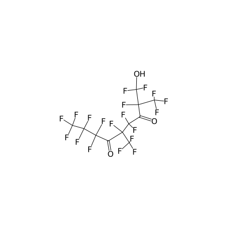 O=C(C(F)(F)C(F)(C(=O)C(F)(F)C(F)(F)C(F)(F)F)C(F)(F)F)C(F)(C(O)(F)F)C(F)(F)F